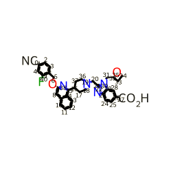 N#Cc1ccc(COc2cc3ccccc3c(C3CCN(Cc4nc5ccc(C(=O)O)cc5n4C[C@@H]4CCO4)CC3)n2)c(F)c1